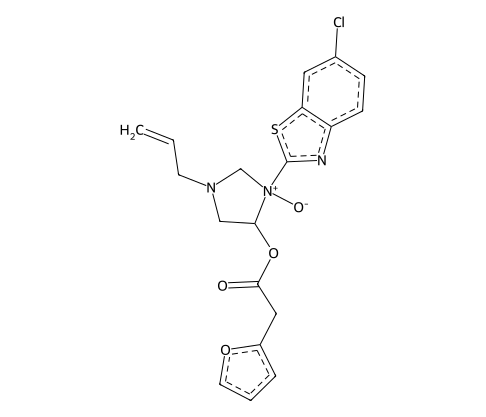 C=CCN1CC(OC(=O)Cc2ccco2)[N+]([O-])(c2nc3ccc(Cl)cc3s2)C1